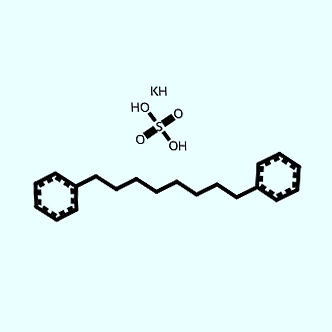 O=S(=O)(O)O.[KH].c1ccc(CCCCCCCCc2ccccc2)cc1